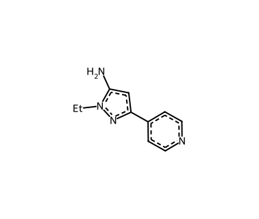 CCn1nc(-c2ccncc2)cc1N